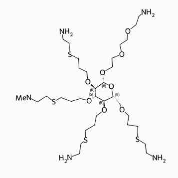 CNCCSCCCO[C@@H]1[C@@H](OCCCSCCN)[C@H](OCCOCCOCCN)O[C@H](COCCCSCCN)[C@H]1OCCCSCCN